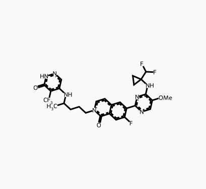 COc1cnc(-c2cc3ccn(CCCC(C)Nc4cn[nH]c(=O)c4C(F)(F)F)c(=O)c3cc2F)nc1NC1(C(F)F)CC1